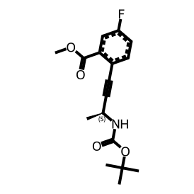 COC(=O)c1cc(F)ccc1C#C[C@H](C)NC(=O)OC(C)(C)C